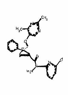 Cc1ncc(OC[C@@]2(c3ccccc3)CC2C(=O)N(N)c2cccc(Cl)n2)c(C)n1